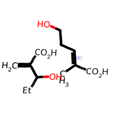 C/C(=C\CCO)C(=O)O.C=C(C(=O)O)C(O)CC